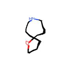 [CH]1CC2(CCCO2)CCN1